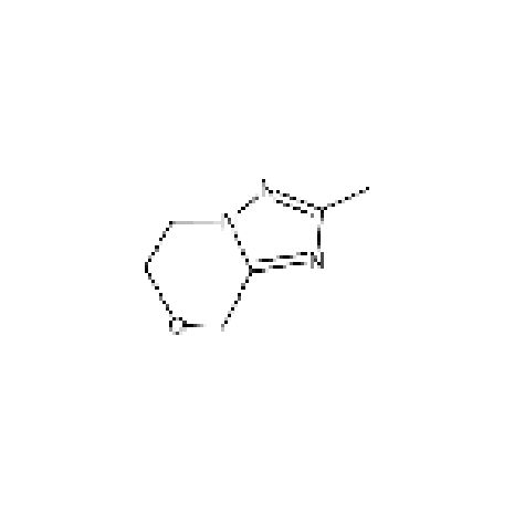 Cc1nc2n(n1)CCOC2